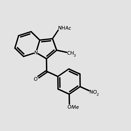 COc1cc(C(=O)c2c(C)c(NC(C)=O)c3ccccn23)ccc1[N+](=O)[O-]